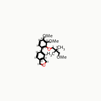 COCC(C)(C)COc1c(-c2ccc3c(c2)COC3)ccc(OC)c1OC